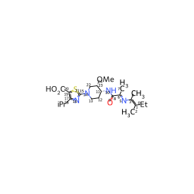 CC/C(C)=C(C)/N=C(\C)C(=O)N[C@@H]1CCN(c2nc(C(C)C)c(C(=O)O)s2)C[C@@H]1OC